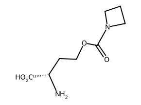 N[C@@H](CCOC(=O)N1CCC1)C(=O)O